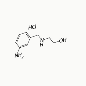 Cl.Nc1cccc(CNCCO)c1